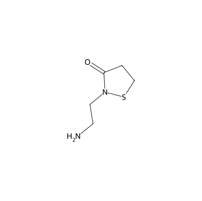 NCCN1SCCC1=O